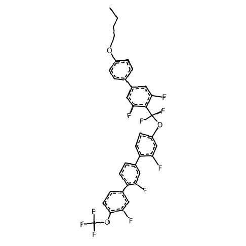 CCCCOc1ccc(-c2cc(F)c(C(F)(F)Oc3ccc(-c4ccc(-c5ccc(OC(F)(F)F)c(F)c5)c(F)c4)c(F)c3)c(F)c2)cc1